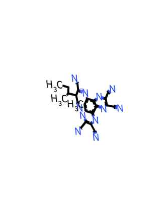 CCC(C)C(C#N)/C(C#N)=N\c1c(C)c2nc(C#N)c(C#N)nc2c2nc(C#N)c(C#N)nc12